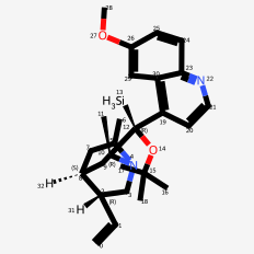 C=C[C@H]1CN2C(C)C[C@H]1C[C@]2(C)[C@@]([SiH3])(OC(C)(C)C)c1ccnc2ccc(OC)cc12